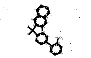 CC1(C)c2ccc(-c3ccccc3[N+](=O)[O-])cc2-c2cc3ccccc3cc21